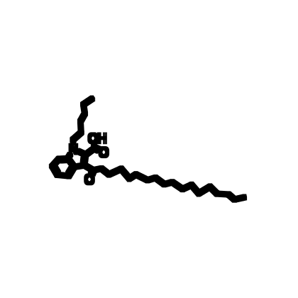 CCCCCCCCCCCCCCCCCC(=O)c1c(C(=O)O)n(CCCCCC)c2ccccc12